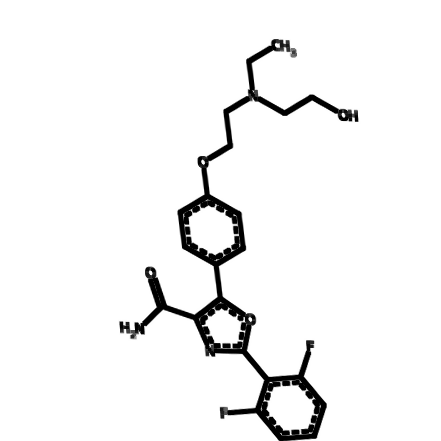 CCN(CCO)CCOc1ccc(-c2oc(-c3c(F)cccc3F)nc2C(N)=O)cc1